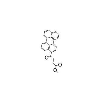 COC(=O)CCC(=O)c1ccc2c3cccc4cccc(c5cccc1c52)c43